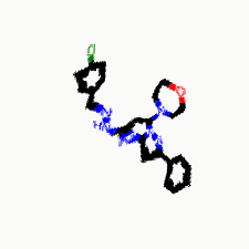 Clc1ccc(C=NNc2cc(N3CCOCC3)n3nc(-c4ccccc4)cc3n2)cc1